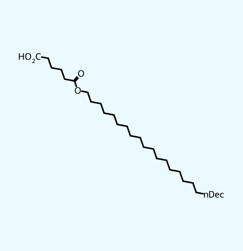 CCCCCCCCCCCCCCCCCCCCCCCCCCCCOC(=O)CCCCC(=O)O